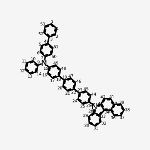 c1ccc(-c2ccc(N(c3ccccc3)c3ccc(-c4ccc(-c5ccc(-n6c7ccccc7c7c8ccccc8ccc76)cc5)cc4)cc3)cc2)cc1